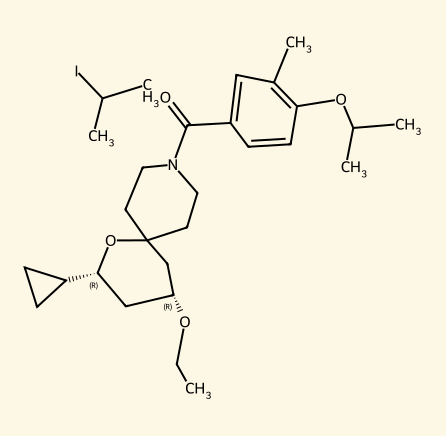 CC(C)I.CCO[C@@H]1C[C@H](C2CC2)OC2(CCN(C(=O)c3ccc(OC(C)C)c(C)c3)CC2)C1